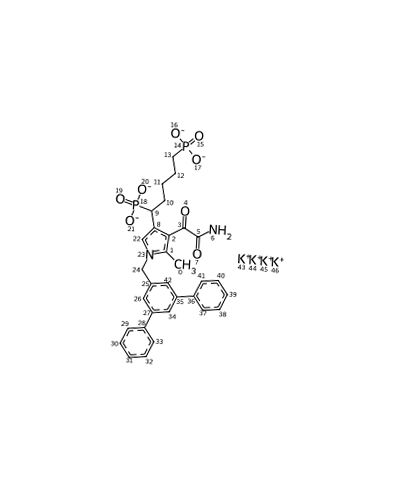 Cc1c(C(=O)C(N)=O)c(C(CCCCP(=O)([O-])[O-])P(=O)([O-])[O-])cn1Cc1cc(-c2ccccc2)cc(-c2ccccc2)c1.[K+].[K+].[K+].[K+]